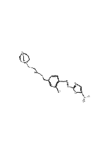 O=[N+]([O-])c1cnc(N=Nc2ccc(CCNCC[N+]34CCN(CC3)CC4)cc2Cl)s1